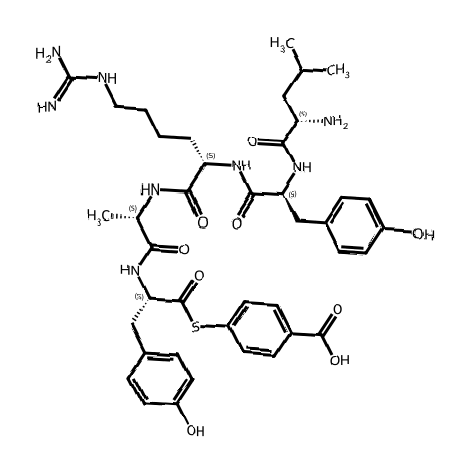 CC(C)C[C@H](N)C(=O)N[C@@H](Cc1ccc(O)cc1)C(=O)N[C@@H](CCCCNC(=N)N)C(=O)N[C@@H](C)C(=O)N[C@@H](Cc1ccc(O)cc1)C(=O)Sc1ccc(C(=O)O)cc1